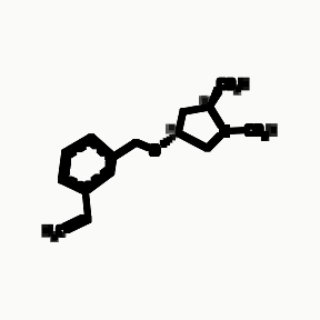 C=Cc1cccc(CO[C@@H]2C[C@@H](C(=O)O)N(C(=O)O)C2)c1